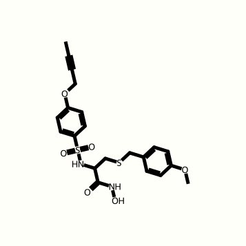 CC#CCOc1ccc(S(=O)(=O)NC(CSCc2ccc(OC)cc2)C(=O)NO)cc1